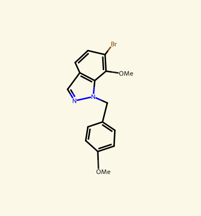 COc1ccc(Cn2ncc3ccc(Br)c(OC)c32)cc1